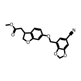 COC(=O)CC1COc2cc(OCc3cc(C#N)cc4c3OCO4)ccc21